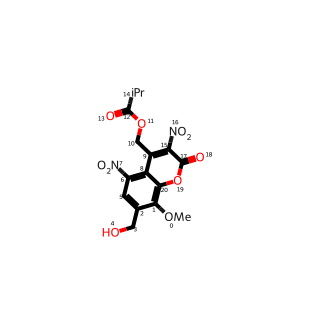 COc1c(CO)cc([N+](=O)[O-])c2c(COC(=O)C(C)C)c([N+](=O)[O-])c(=O)oc12